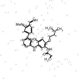 C=CC(=O)Nc1cc(Nc2cc(-c3ccc(C=N)c(NC)c3)ncn2)c(OC)cc1OCCN(C)C